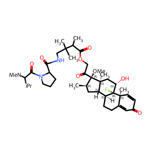 CNC(C(=O)N1CCCC1C(=O)NCC(C)(C)C(C)C(=O)OCC(=O)[C@@]1(OC)[C@H](C)C[C@H]2[C@@H]3CCC4=CC(=O)C=C[C@]4(C)[C@@]3(F)[C@@H](O)C[C@@]21C)C(C)C